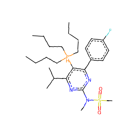 CCCC[PH](CCCC)(CCCC)c1c(-c2ccc(F)cc2)nc(N(C)S(C)(=O)=O)nc1C(C)C